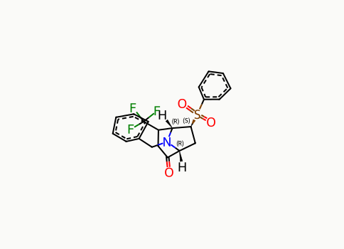 O=C1CC(C(F)(F)F)[C@@H]2[C@@H](S(=O)(=O)c3ccccc3)C[C@H]1N2Cc1ccccc1